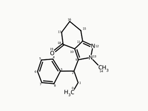 CCC(c1ccccc1)c1c2c(nn1C)CCCC2=O